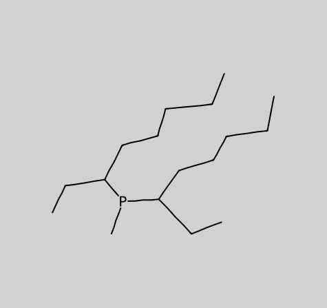 CCCCCC(CC)P(C)C(CC)CCCCC